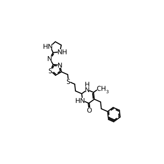 CC1=C(CCc2c#cccc2)C(=O)NC(CCSCc2csc(N=C3NCCN3)n2)N1